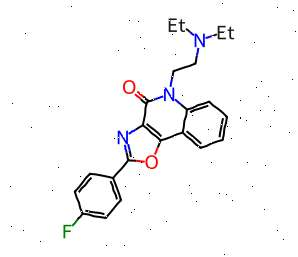 CCN(CC)CCn1c(=O)c2nc(-c3ccc(F)cc3)oc2c2ccccc21